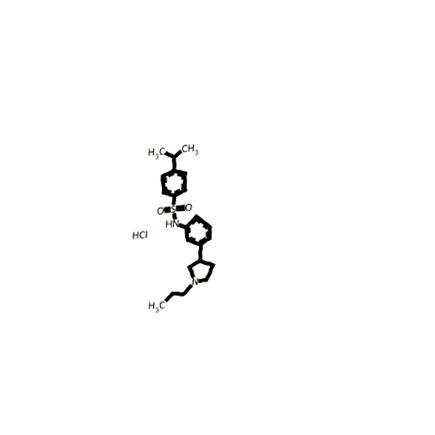 CCCN1CCC(c2cccc(NS(=O)(=O)c3ccc(C(C)C)cc3)c2)C1.Cl